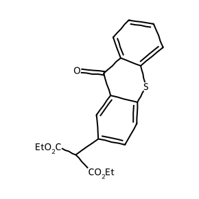 CCOC(=O)C(C(=O)OCC)c1ccc2sc3ccccc3c(=O)c2c1